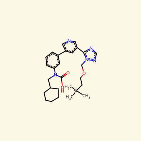 C[Si](C)(C)CCOCn1ncnc1-c1cncc(-c2cccc(N(CC3CCCCC3)C(=O)O)c2)c1